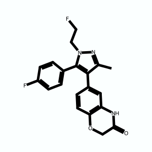 Cc1nn(CCF)c(-c2ccc(F)cc2)c1-c1ccc2c(c1)NC(=O)CO2